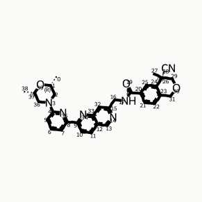 C[C@@H]1CN(c2cccc(-c3ccc4cnc(CNC(=O)c5ccc6c(c5)[C@](C)(C#N)COC6)cc4n3)n2)C[C@H](C)O1